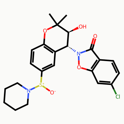 CC1(C)Oc2ccc([S+]([O-])N3CCCCC3)cc2[C@@H](n2oc3cc(Cl)ccc3c2=O)[C@@H]1O